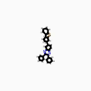 c1ccc(-c2nc3ccc(-c4ccc5c(c4)sc4ccccc45)cc3nc2-c2ccccc2)cc1